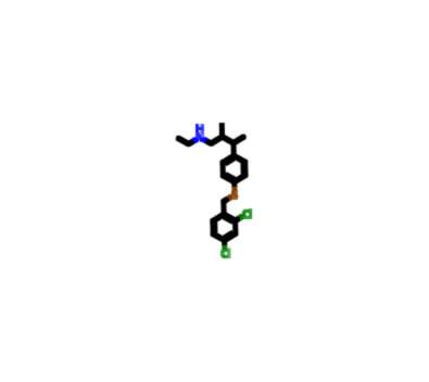 CCNCC(C)C(C)c1ccc(SCc2ccc(Cl)cc2Cl)cc1